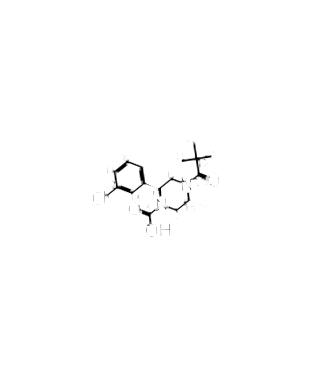 C[C@@H]1CN(C(=O)O)[C@@H](c2cccc(Cl)c2)CN1C(=O)C(C)(C)C